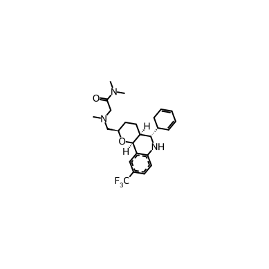 CN(CC(=O)N(C)C)C[C@H]1CC[C@@H]2[C@H](O1)c1cc(C(F)(F)F)ccc1N[C@H]2C1C=CC=CC1